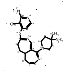 CC1(N)CCN(C2=NC=CCC3CCC(Sc4ccnc(N)c4Cl)=NC=C23)CC1